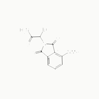 CCC(C(N)=O)N1C(=O)c2cccc(NC)c2C1=O